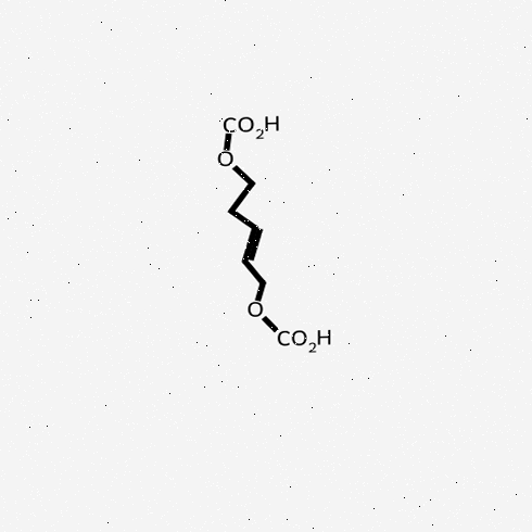 O=C(O)OCC=CCCOC(=O)O